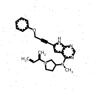 C=CC(=C)N1CCC(N(C)c2ncnc3[nH]c(C#CCOc4ccccc4)cc23)C1